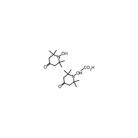 CC(=O)O.CC1(C)CC(=O)CC(C)(C)N1O.CC1(C)CC(=O)CC(C)(C)N1O